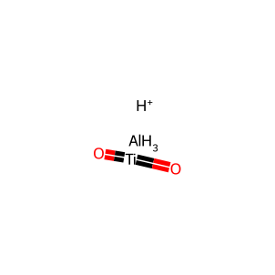 [AlH3].[H+].[O]=[Ti]=[O]